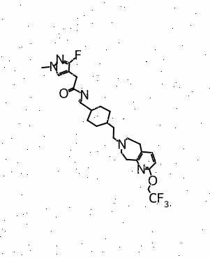 Cn1cc(CC(=O)/N=C/C2CCC(CCN3CCc4ccc(OCC(F)(F)F)nc4CC3)CC2)c(F)n1